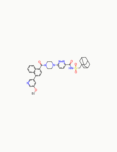 CCOc1cncc(-c2ccc(C(=O)N3CCN(c4ccc(C(=O)NS(=O)(=O)CC56CC7CC(CC(C7)C5)C6)nn4)CC3)c3ccccc23)c1